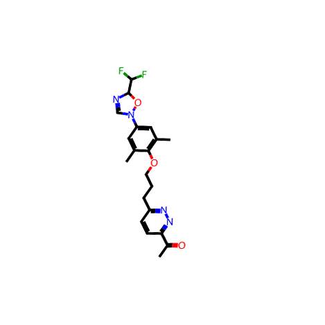 CC(=O)c1ccc(CCCOc2c(C)cc(N3C=NC(C(F)F)O3)cc2C)nn1